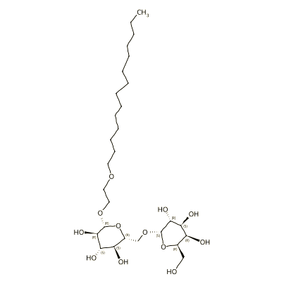 CCCCCCCCCCCCCCOCCO[C@@H]1O[C@H](CO[C@H]2O[C@H](CO)[C@H](O)[C@H](O)[C@H]2O)[C@@H](O)[C@H](O)[C@H]1O